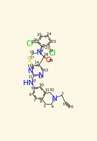 C#CCN1CCc2ccc(Nc3ncc4c(n3)SCN(c3c(Cl)cccc3Cl)C4=O)cc2C1